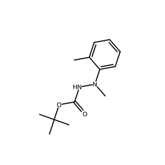 Cc1ccccc1N(C)NC(=O)OC(C)(C)C